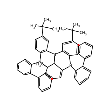 CC(C)(C)c1ccc2c(c1)B1c3cc(C(C)(C)C)ccc3N(c3ccccc3-c3ccccc3)C3(C)C=CC=C(C13)N2c1ccccc1-c1ccccc1